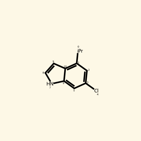 CC(C)c1cc(Cl)cc2[nH]ccc12